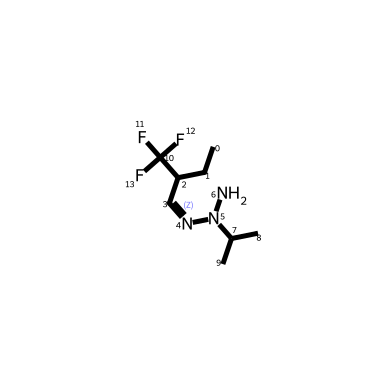 CCC(/C=N\N(N)C(C)C)C(F)(F)F